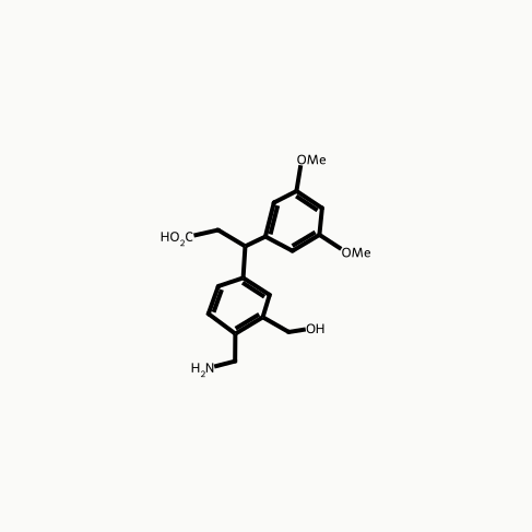 COc1cc(OC)cc(C(CC(=O)O)c2ccc(CN)c(CO)c2)c1